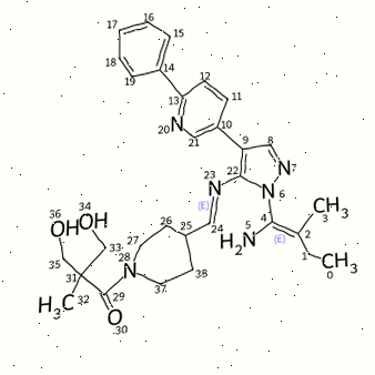 CC/C(C)=C(\N)n1ncc(-c2ccc(-c3ccccc3)nc2)c1/N=C/C1CCN(C(=O)C(C)(CO)CO)CC1